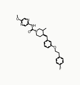 COc1cnc(NC(=O)N2CC/C(=C\c3cccc(OCCc4ccc(F)cc4)c3)C(C)C2)cn1